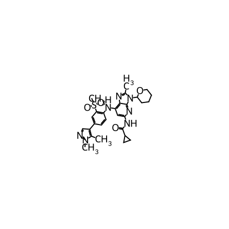 Cc1c(-c2ccc(Nc3cc(NC(=O)C4CC4)nc4c3nc(C)n4C3CCCCO3)c(S(C)(=O)=O)c2)cnn1C